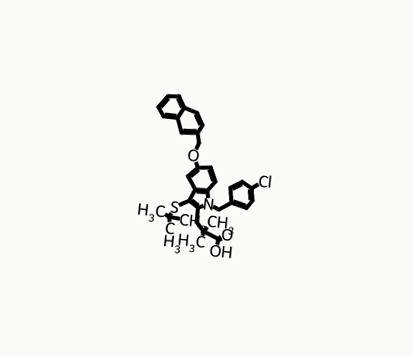 CC(C)(C)Sc1c(CC(C)(C)C(=O)O)n(Cc2ccc(Cl)cc2)c2ccc(OCc3ccc4ccccc4c3)cc12